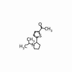 CC(=O)c1ccc(C2CCCN2C(C)C)s1